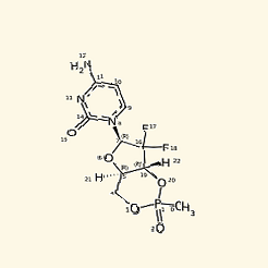 CP1(=O)OC[C@H]2O[C@@H](n3ccc(N)nc3=O)C(F)(F)[C@@H]2O1